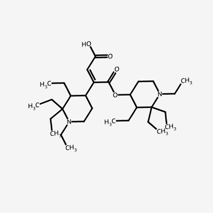 CCC1C(OC(=O)/C(=C\C(=O)O)C2CCN(CC)C(CC)(CC)C2CC)CCN(CC)C1(CC)CC